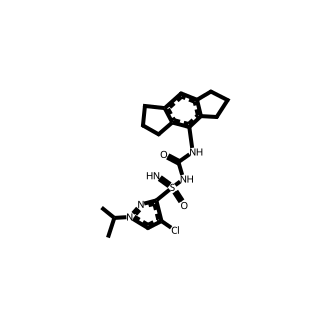 CC(C)n1cc(Cl)c(S(=N)(=O)NC(=O)Nc2c3c(cc4c2CCC4)CCC3)n1